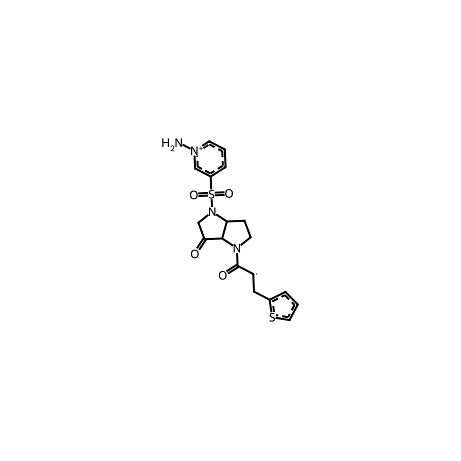 N[n+]1cccc(S(=O)(=O)N2CC(=O)C3C2CCN3C(=O)[CH]Cc2cccs2)c1